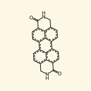 O=C1NCc2ccc3c4ccc5c6c(ccc(c7ccc1c2c37)c64)CNC5=O